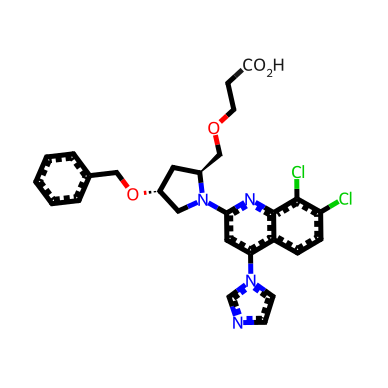 O=C(O)CCOC[C@@H]1C[C@@H](OCc2ccccc2)CN1c1cc(-n2ccnc2)c2ccc(Cl)c(Cl)c2n1